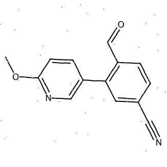 COc1ccc(-c2cc(C#N)ccc2C=O)cn1